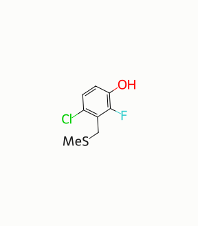 CSCc1c(Cl)ccc(O)c1F